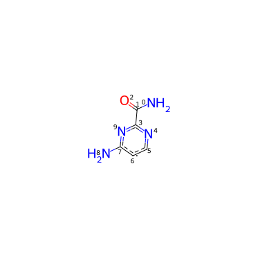 NC(=O)c1nc[c]c(N)n1